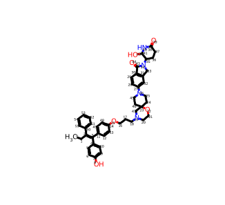 CC/C(=C(\c1ccc(O)cc1)c1ccc(OCCCN2CCOC3(CCN(c4ccc5c(c4)CN(C4CCC(=O)NC4O)C5=O)CC3)C2)cc1)c1ccccc1